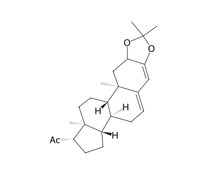 CC(=O)[C@H]1CC[C@H]2[C@@H]3CC=C4C=C5OC(C)(C)OC5C[C@]4(C)[C@H]3CC[C@]12C